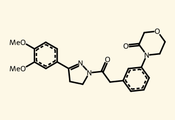 COc1ccc(C2=NN(C(=O)Cc3cccc(N4CCOCC4=O)c3)CC2)cc1OC